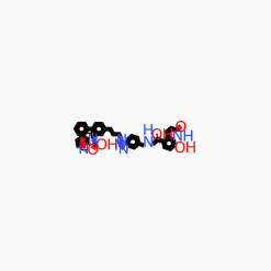 O=C(O)N(c1cc(CCCn2nnc3cc(CNC[C@@H](O)c4ccc(O)c5[nH]c(=O)ccc45)ccc32)ccc1-c1ccccc1)[C@H]1CN2CCC1CC2